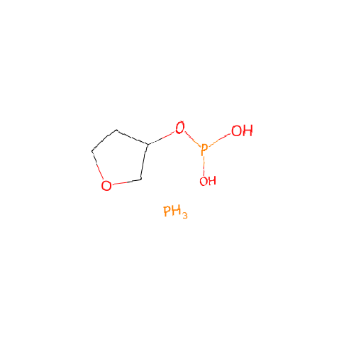 OP(O)OC1CCOC1.P